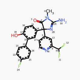 CN1C(=O)C(c2ccnc(C(F)F)c2)(c2ccc(O)c(-c3ccc(F)cc3)c2)N=C1N